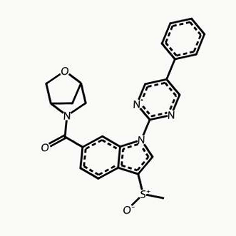 C[S+]([O-])c1cn(-c2ncc(-c3ccccc3)cn2)c2cc(C(=O)N3CC4CC3CO4)ccc12